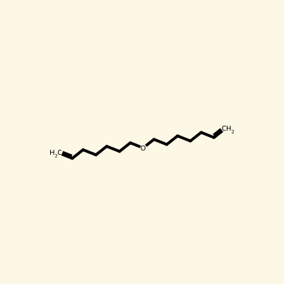 C=CCCCCCOCCCCCC=C